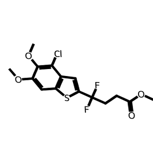 COC(=O)CCC(F)(F)c1cc2c(Cl)c(OC)c(OC)cc2s1